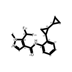 Cn1ncc(C(=O)Nc2ccccc2C2CC2C2CC2)c1C(F)F